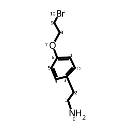 NCCc1ccc(OCCBr)cc1